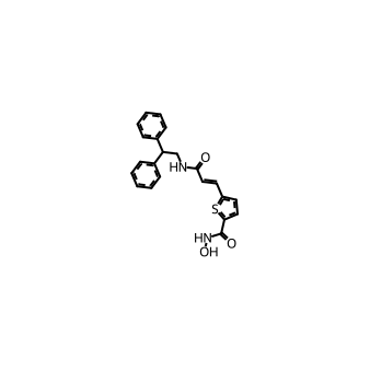 O=C(C=Cc1ccc(C(=O)NO)s1)NCC(c1ccccc1)c1ccccc1